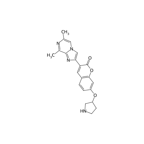 Cc1cn2cc(-c3cc4ccc(OC5CCNC5)cc4oc3=O)nc2c(C)n1